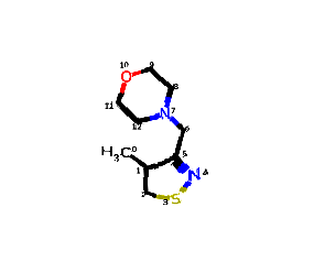 CC1CSN=C1CN1CCOCC1